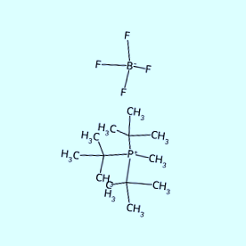 CC(C)(C)[P+](C)(C(C)(C)C)C(C)(C)C.F[B-](F)(F)F